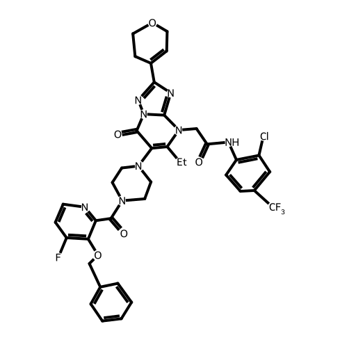 CCc1c(N2CCN(C(=O)c3nccc(F)c3OCc3ccccc3)CC2)c(=O)n2nc(C3=CCOCC3)nc2n1CC(=O)Nc1ccc(C(F)(F)F)cc1Cl